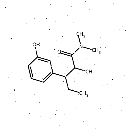 CCC(c1cccc(O)c1)C(C)C(=O)N(C)C